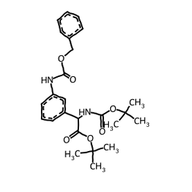 CC(C)(C)OC(=O)NC(C(=O)OC(C)(C)C)c1cccc(NC(=O)OCc2ccccc2)c1